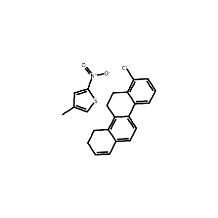 Cc1csc([N+](=O)[O-])c1.Clc1cccc2c1CCc1c-2ccc2c1CCC=C2